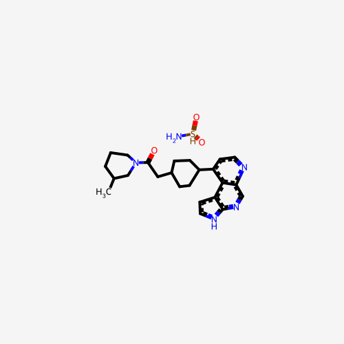 CC1CCCN(C(=O)CC2CCC(c3ccnc4cnc5[nH]ccc5c34)CC2)C1.N[SH](=O)=O